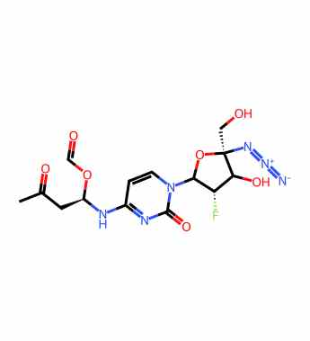 CC(=O)C[C@H](Nc1ccn(C2O[C@@](CO)(N=[N+]=[N-])C(O)[C@@H]2F)c(=O)n1)OC=O